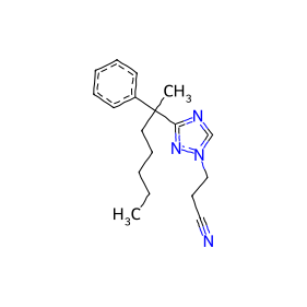 CCCCCC(C)(c1ccccc1)c1ncn(CCC#N)n1